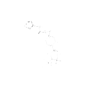 O=C(Nc1cnoc1)C1CC12CCN(C(=O)OC(C(F)(F)F)C(F)(F)F)CC2